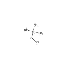 CC(C)C[Si](C)(C)C#N